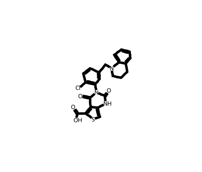 O=C(O)c1scc2[nH]c(=O)n(-c3cc(CN4CCCc5ccccc54)ccc3Cl)c(=O)c12